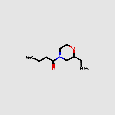 COCCC(=O)N1CCOC(CNC(C)=O)C1